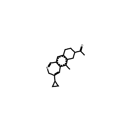 CC(=O)C1CCc2cc3c(c(C)c2C1)C=C(C1CC1)CN=C3